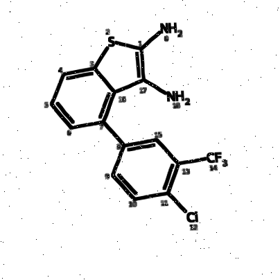 Nc1sc2cccc(-c3ccc(Cl)c(C(F)(F)F)c3)c2c1N